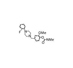 CNC(=O)Oc1ccc(CN2CCN(c3ccccc3F)CC2)cc1OC